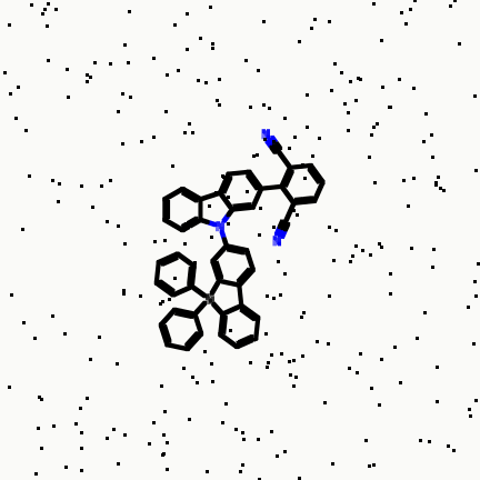 N#Cc1cccc(C#N)c1-c1ccc2c3ccccc3n(-c3ccc4c(c3)[Si](c3ccccc3)(c3ccccc3)c3ccccc3-4)c2c1